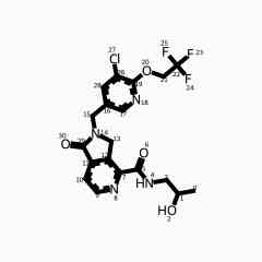 CC(O)CNC(=O)c1nccc2c1CN(Cc1cnc(OCC(F)(F)F)c(Cl)c1)C2=O